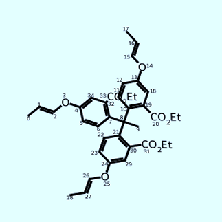 CC=COc1ccc(C(C)(c2ccc(OC=CC)cc2C(=O)OCC)c2ccc(OC=CC)cc2C(=O)OCC)c(C(=O)OCC)c1